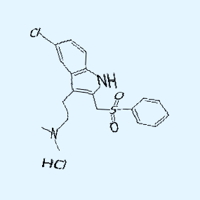 CN(C)CCc1c(CS(=O)(=O)c2ccccc2)[nH]c2ccc(Cl)cc12.Cl